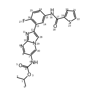 CC(C)OC(=O)Nc1cnc2nc(-c3cc(NC(=O)c4cccs4)ccc3F)cn2c1